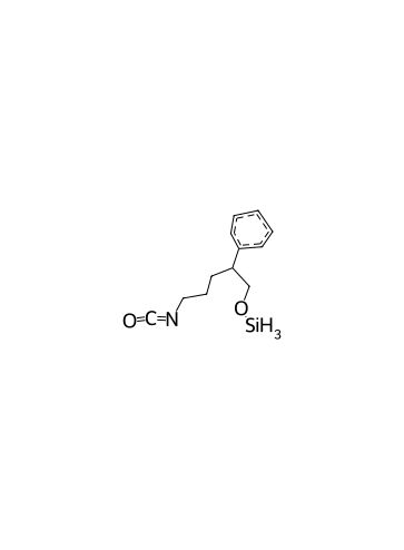 O=C=NCCCC(CO[SiH3])c1ccccc1